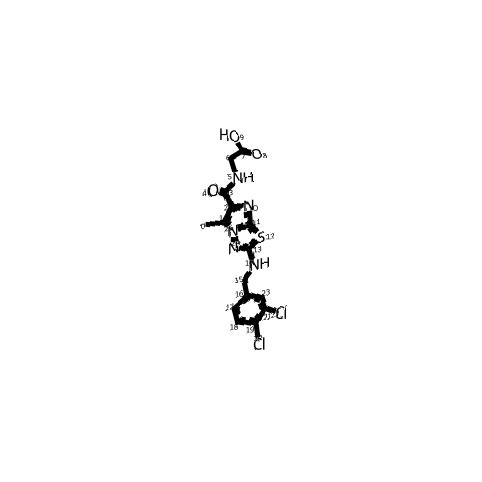 Cc1c(C(=O)NCC(=O)O)nc2sc(NCc3ccc(Cl)c(Cl)c3)nn12